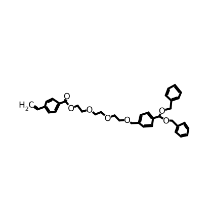 C=Cc1ccc(C(=O)OCCOCCOCCOCc2ccc(C(OCc3ccccc3)OCc3ccccc3)cc2)cc1